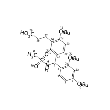 CC(C)COc1ccc(C(NS(C)(=O)=O)c2ccc(OCC(C)C)c(CCC(=O)O)c2)c(OCC(C)C)c1